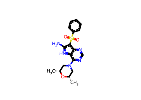 C[C@@H]1CN(c2ncnc3c(S(=O)(=O)c4ccccc4)c(N)[nH]c23)C[C@H](C)O1